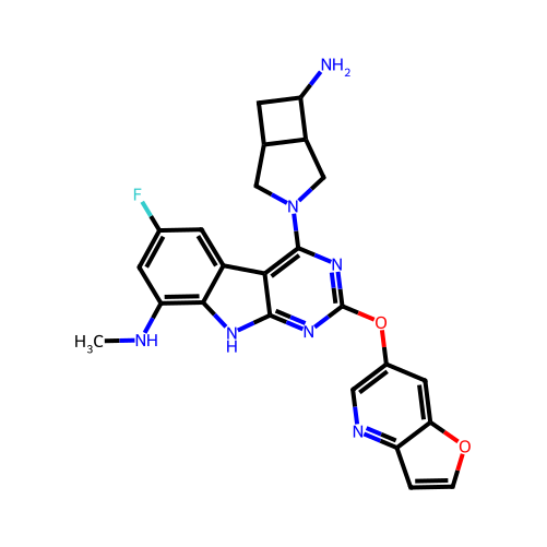 CNc1cc(F)cc2c1[nH]c1nc(Oc3cnc4ccoc4c3)nc(N3CC4CC(N)C4C3)c12